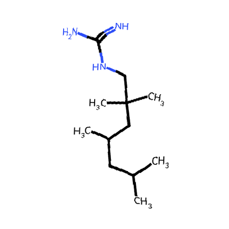 CC(C)CC(C)CC(C)(C)CNC(=N)N